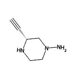 C#C[C@@H]1CN(N)CCN1